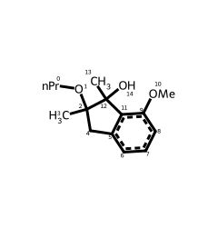 CCCOC1(C)Cc2cccc(OC)c2C1(C)O